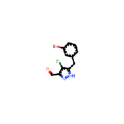 O=Cc1n[nH]c(Cc2cccc(Br)c2)c1Cl